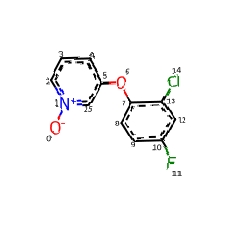 [O-][n+]1cccc(Oc2ccc(F)cc2Cl)c1